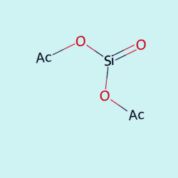 CC(=O)O[Si](=O)OC(C)=O